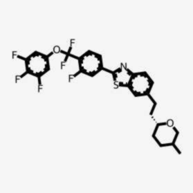 CC1CC[C@H](CCc2ccc3nc(-c4ccc(C(F)(F)Oc5cc(F)c(F)c(F)c5)c(F)c4)sc3c2)OC1